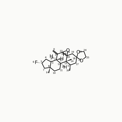 C=C1[C@H]2[C@@H]3C[C@@H](F)C[C@@]3(C)CC[C@@H]2[C@@]2(C)[C@H](C)CC3(CC24O[C@@H]14)OCCO3